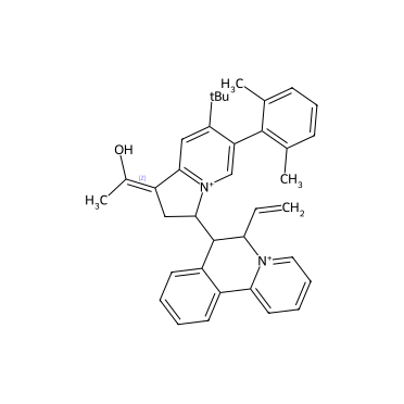 C=CC1C(C2C/C(=C(\C)O)c3cc(C(C)(C)C)c(-c4c(C)cccc4C)c[n+]32)c2ccccc2-c2cccc[n+]21